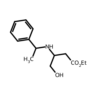 CCOC(=O)CC(CO)NC(C)c1ccccc1